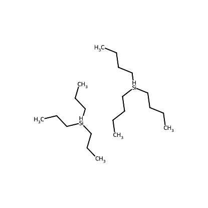 CCCC[SiH](CCCC)CCCC.CCC[SiH](CCC)CCC